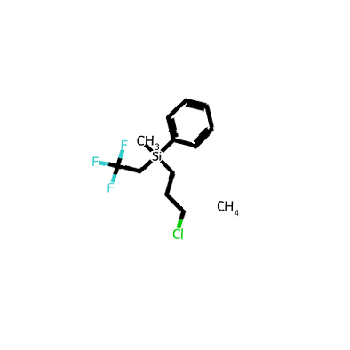 C.C[Si](CCCCl)(CC(F)(F)F)c1ccccc1